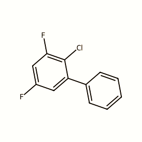 Fc1cc(F)c(Cl)c(-c2ccccc2)c1